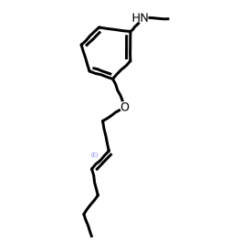 CCC/C=C/COc1cccc(NC)c1